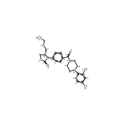 CCOC[C@@H]1COC(=O)N1c1ccc(C(=O)N2CCN(c3ncc(Cl)cc3Cl)CC2)cc1